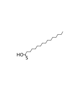 CCCCCCCCCCCCCCCC(O)=S